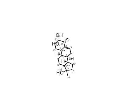 C[C@H]1C2=CC[C@@H]3[C@H](CC[C@@]4(C)[C@H]3CC[C@]4(C)O)[C@@]2(CO)CC[C@@H]1O